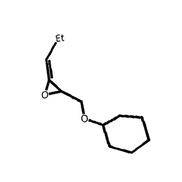 CCC=C1OC1COC1CCCCC1